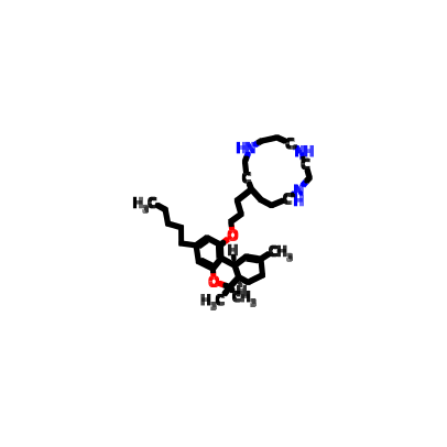 CCCCCc1cc(OCCCC2CCCNCCNCCCNCC2)c2c(c1)OC(C)(C)[C@@H]1CCC(C)=C[C@@H]21